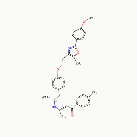 C/C(=C\C(=O)c1ccc(C(F)(F)F)cc1)N[C@@H](Cc1ccc(OCCc2nc(-c3ccc(OC(C)C)cc3)oc2C)cc1)C(=O)O